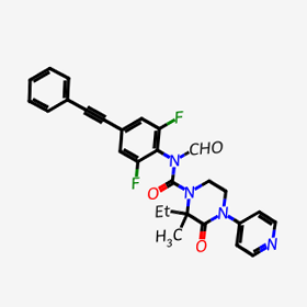 CCC1(C)C(=O)N(c2ccncc2)CCN1C(=O)N(C=O)c1c(F)cc(C#Cc2ccccc2)cc1F